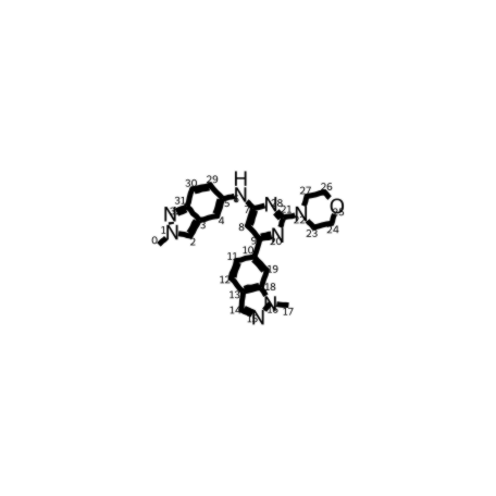 Cn1cc2cc(Nc3cc(-c4ccc5cnn(C)c5c4)nc(N4CCOCC4)n3)ccc2n1